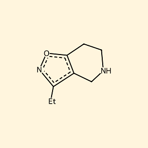 CCc1noc2c1CNCC2